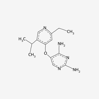 CCc1cc(Oc2cnc(N)nc2N)c(C(C)C)cn1